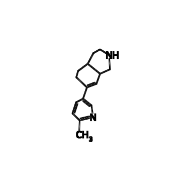 Cc1ccc(C2=CC3CNCCC3CC2)cn1